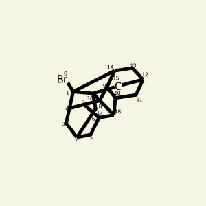 BrC12C3CC4CC5C3CC3C6CC(CC31)CC2(C4)C56